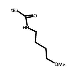 COCCCCNC(=O)C(C)(C)C